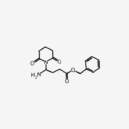 NC(CCC(=O)OCc1ccccc1)N1C(=O)CCCC1=O